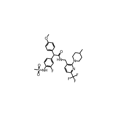 COc1ccc(C(C(=O)NCc2ccc(C(F)(F)F)nc2N2CCC(C)CC2)c2ccc(NS(C)(=O)=O)c(F)c2)cc1